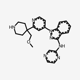 COCC1(c2cc(-n3nc(Nc4cnccn4)c4ccccc43)ccn2)CCNCC1